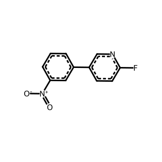 O=[N+]([O-])c1cccc(-c2ccc(F)nc2)c1